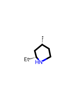 [CH2]C[C@@H]1C[C@H](C)CCN1